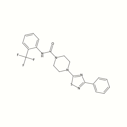 O=C(Nc1ccccc1C(F)(F)F)N1CCN(c2nc(-c3ccccc3)ns2)CC1